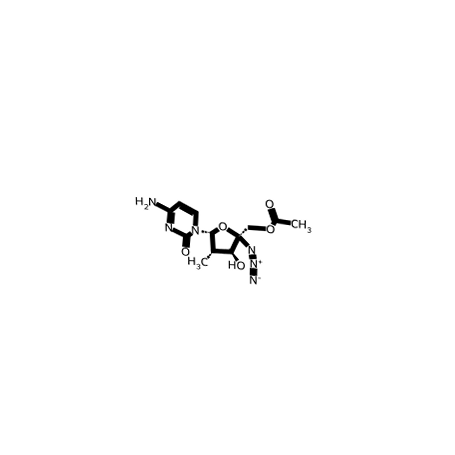 CC(=O)OC[C@@]1(N=[N+]=[N-])O[C@@H](n2ccc(N)nc2=O)[C@@H](C)[C@@H]1O